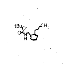 C=CCCc1ccccc1CNC(=O)OC(C)(C)C